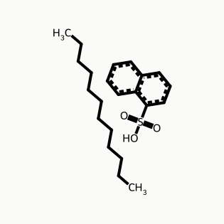 CCCCCCCCCCCC.O=S(=O)(O)c1cccc2ccccc12